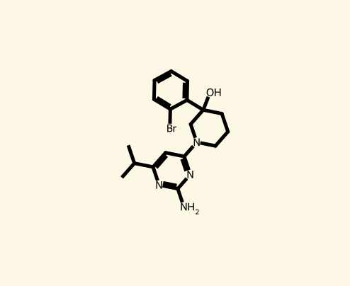 CC(C)c1cc(N2CCCC(O)(c3ccccc3Br)C2)nc(N)n1